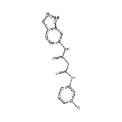 O=C(CC(=O)Nc1ccc2cn[nH]c2c1)Nc1cccc(Cl)c1